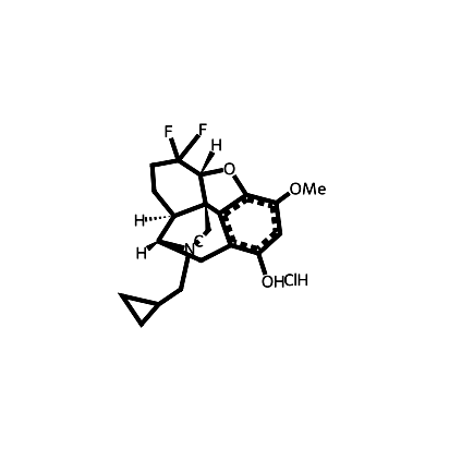 COc1cc(O)c2c3c1O[C@H]1C(F)(F)CC[C@@H]4[C@@H](C2)N(CC2CC2)CC[C@@]341.Cl